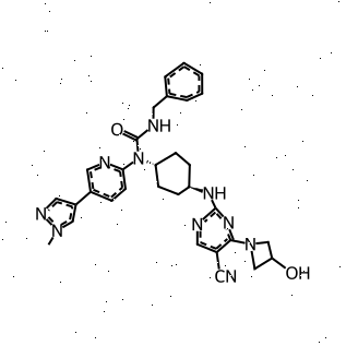 Cn1cc(-c2ccc(N(C(=O)NCc3ccccc3)[C@H]3CC[C@H](Nc4ncc(C#N)c(N5CC(O)C5)n4)CC3)nc2)cn1